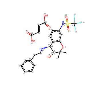 CC1(C)Oc2cc(NS(=O)(=O)C(F)(F)F)ccc2[C@H](NCCc2ccccc2)[C@H]1O.O=C(O)C=CC(=O)O